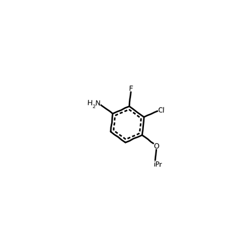 CC(C)Oc1ccc(N)c(F)c1Cl